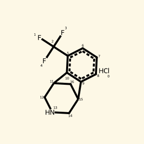 Cl.FC(F)(F)c1cccc2c1C1CNCC2C1